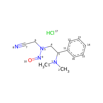 CN(C)C(CN(CC#N)N=O)c1ccccc1.Cl